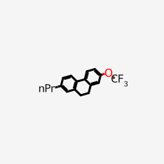 CCCc1ccc2c(c1)CCc1cc(OC(F)(F)F)ccc1-2